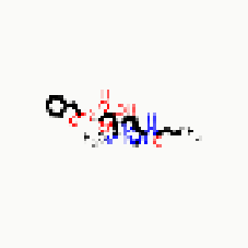 CCCC(=O)Nc1ncnn2c([C@]3(/C=N\C)O[C@H](COC(=O)CC4CCCCC4)[C@@H](O)[C@H]3O)ccc12